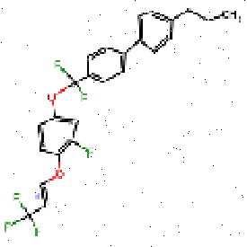 CCCc1ccc(-c2ccc(C(F)(F)Oc3ccc(O/C=C/C(F)(F)F)c(F)c3)cc2)cc1